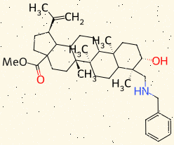 C=C(C)[C@@H]1CCC2(C(=O)OC)CC[C@]3(C)C(CCC4[C@@]5(C)CC[C@H](O)[C@@](C)(CNCc6ccccc6)C5CC[C@]43C)C12